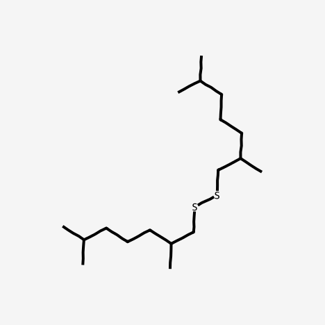 CC(C)CCCC(C)CSSCC(C)CCCC(C)C